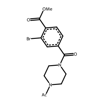 COC(=O)c1ccc(C(=O)N2CCN(C(C)=O)CC2)cc1Br